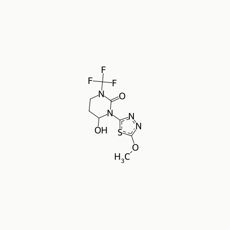 COc1nnc(N2C(=O)N(C(F)(F)F)CCC2O)s1